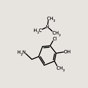 CN(C)C.Cc1cc(CN)cc(Cl)c1O